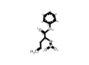 C=CCC(N=S(=O)=O)C(=O)Oc1ccccc1